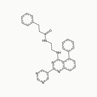 O=C(CCc1ccccc1)NCCNc1nc(-c2cncnc2)nc2cccc(-c3ccccc3)c12